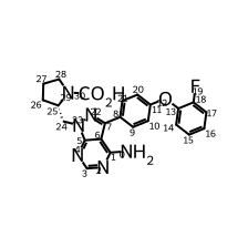 Nc1ncnc2c1c(-c1ccc(Oc3ccccc3F)cc1)nn2C[C@@H]1CCCN1C(=O)O